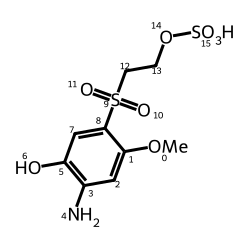 COc1cc(N)c(O)cc1S(=O)(=O)CCOS(=O)(=O)O